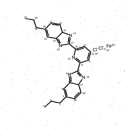 CCCC1=CC2=NC(c3cccc(C4=NC5C=CC(CCC)=CC5=N4)n3)=NC2C=C1.[Cl-].[Cl-].[Fe+2]